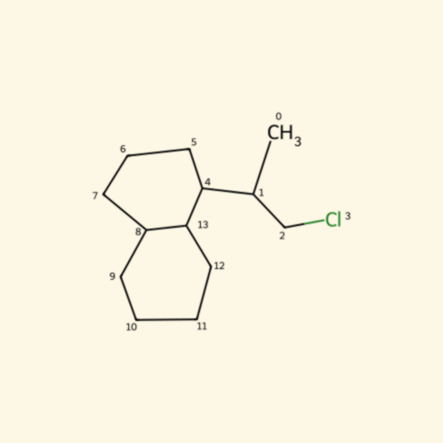 CC(CCl)C1CCCC2CCCCC21